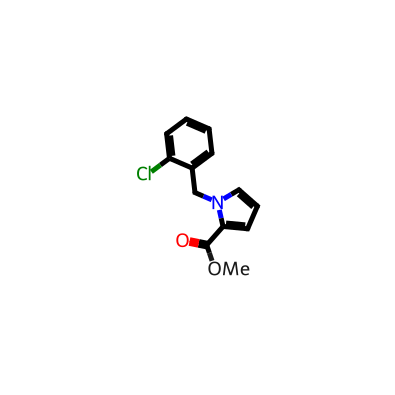 COC(=O)c1cccn1Cc1ccccc1Cl